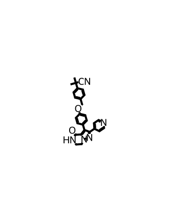 CC(C)(C#N)c1ccc(COc2ccc(-c3c(-c4ccncc4)nn4c3C(=O)NCC4)cc2)cc1